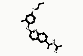 CCCOc1ccc(Oc2ccc3cc(C(C)NC(C)=O)ccc3n2)c(C)c1